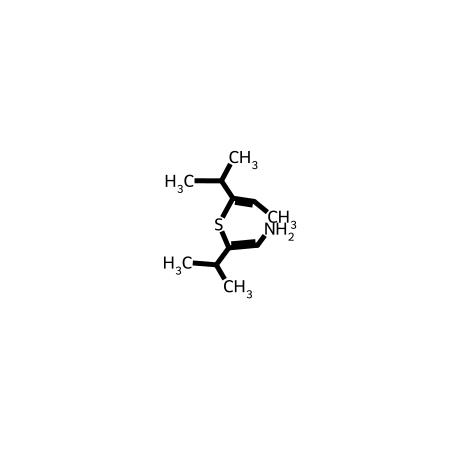 C/C=C(\S/C(=C\N)C(C)C)C(C)C